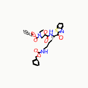 CC(C)(C)OC(=O)N1CCOC(C(=O)N[C@@H](CCCCNC(=O)OCc2ccccc2)C(=O)c2nc3ccccc3s2)C1